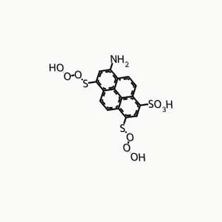 Nc1cc(SOOO)c2ccc3c(SOOO)cc(S(=O)(=O)O)c4ccc1c2c34